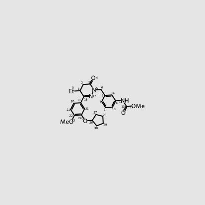 CCC1CC(=O)N(Cc2cccc(NC(=O)OC)c2)N=C1c1ccc(OC)c(OC2CCCC2)c1